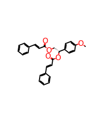 COc1ccc([C@@H](COC(=O)C=Cc2ccccc2)OC(=O)/C=C/c2ccccc2)cc1